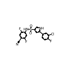 N#Cc1cc(F)c(NS(=O)(=O)c2c[nH]c(-c3ccc(F)c(Cl)c3)c2)cc1F